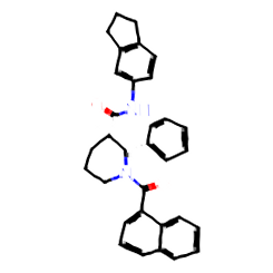 O=C(Nc1ccc2c(c1)CCC2)[C@H]1CCCN(C(=O)c2cccc3ccccc23)[C@H]1c1ccccc1